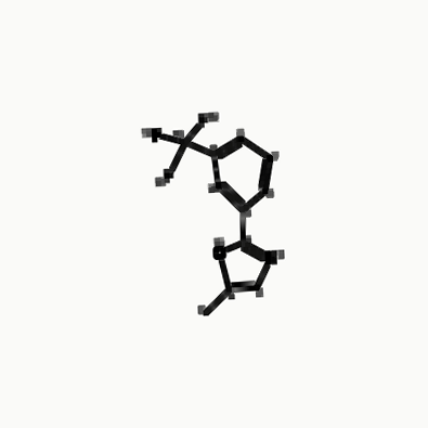 Cc1cnc(-c2cccc(C(F)(F)F)c2)o1